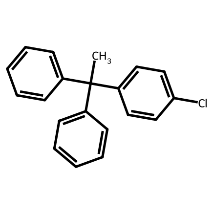 CC(c1ccccc1)(c1ccccc1)c1ccc(Cl)cc1